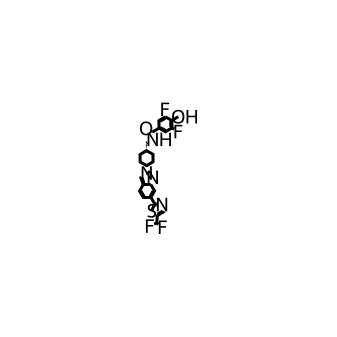 O=C(NC[C@H]1CC[C@H](n2cc3ccc(-c4ncc(C(F)F)s4)cc3n2)CC1)c1cc(F)c(O)c(F)c1